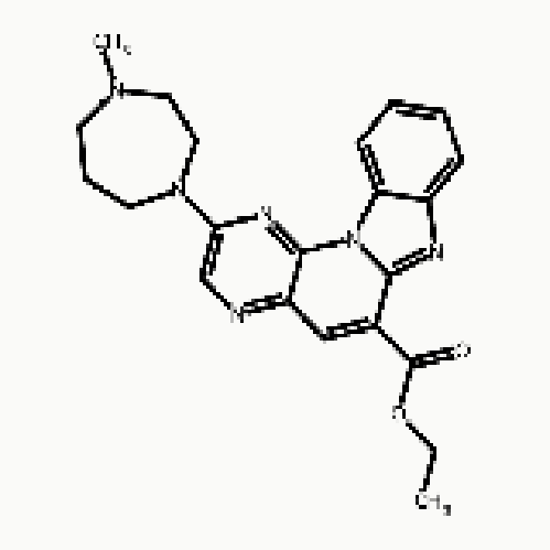 CCOC(=O)c1cc2ncc(N3CCCN(C)CC3)nc2n2c1nc1ccccc12